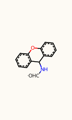 O=[C]NC1c2ccccc2Oc2ccccc21